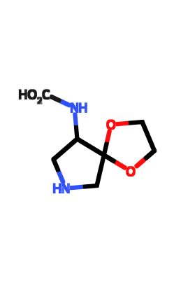 O=C(O)NC1CNCC12OCCO2